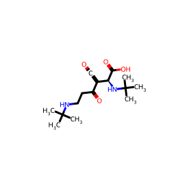 CC(C)(C)NCCC(=O)C(=C=O)[C@H](NC(C)(C)C)C(=O)O